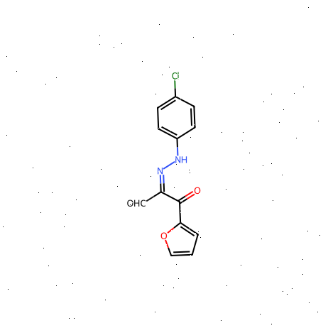 O=CC(=NNc1ccc(Cl)cc1)C(=O)c1ccco1